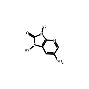 CCn1c(=O)n(C(C)C)c2cc(N)cnc21